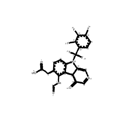 O=CNc1c(CC(=O)O)ccc2c1C1C(=O)C=NC=C1N2C(F)(F)c1ccc(F)c(F)c1F